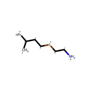 CCCC(C)CCSCCN